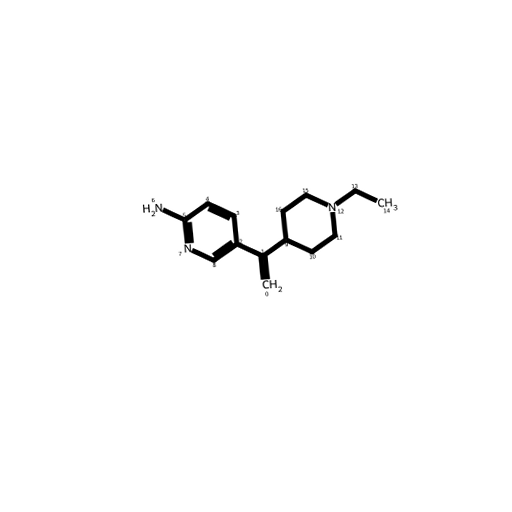 C=C(c1ccc(N)nc1)C1CCN(CC)CC1